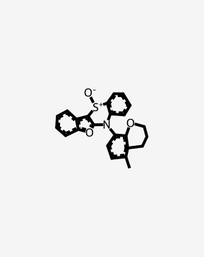 Cc1ccc(N2c3ccccc3[S+]([O-])c3c2oc2ccccc32)c2c1CCCO2